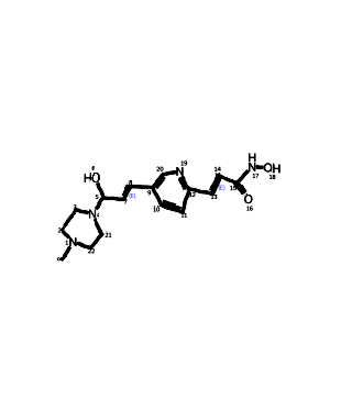 CN1CCN(C(O)/C=C/c2ccc(/C=C/C(=O)NO)nc2)CC1